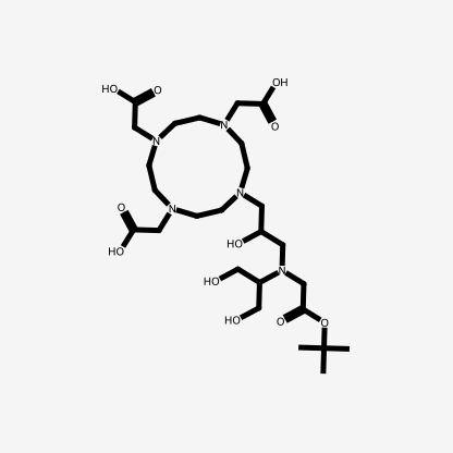 CC(C)(C)OC(=O)CN(CC(O)CN1CCN(CC(=O)O)CCN(CC(=O)O)CCN(CC(=O)O)CC1)C(CO)CO